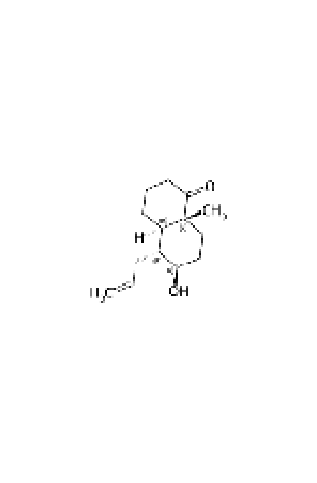 C=CC[C@H]1[C@H](O)CC[C@@]2(C)C(=O)CCC[C@H]12